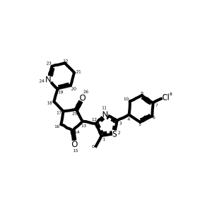 Cc1sc(C2C=CC(Cl)=CC2)nc1C1C(=O)CC(CC2=CCCC=N2)C1=O